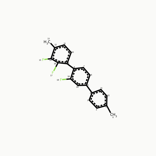 Cc1ccc(-c2ccc(-c3ccc(C)c(F)c3F)c(F)c2)cc1